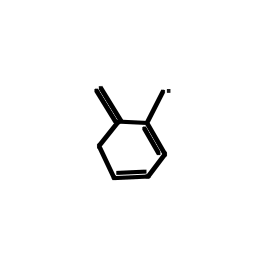 [CH2]C1=CC=CCC1=C